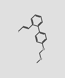 COCOc1ccc(-c2ccccc2C=CI)cc1